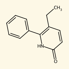 CCc1ccc(=O)[nH]c1-c1ccccc1